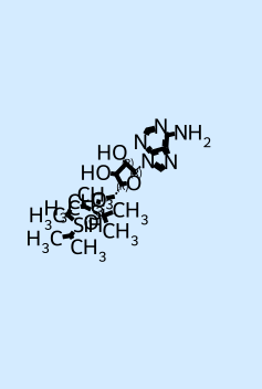 CC(C)[SiH](O[Si](OC[C@H]1O[C@@H](n2cnc3c(N)ncnc32)[C@H](O)C1O)(C(C)C)C(C)C)C(C)C